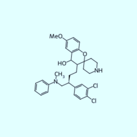 COc1ccc2c(c1)C(O)C(CC[C@H](CN(C)c1ccccc1)c1ccc(Cl)c(Cl)c1)C1(CCNCC1)O2